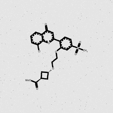 COC(=O)[C@H]1C[C@H](OCCOc2cc(S(C)(=O)=O)ccc2-c2cc(=O)c3cccc(Cl)c3o2)C1